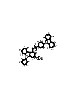 CC(C)(C)c1cc(CC(C)(C)c2ccc(-n3c4ccccc4c4ccccc43)cc2)c2c3ccccc3n(-c3ccccc3)c2c1